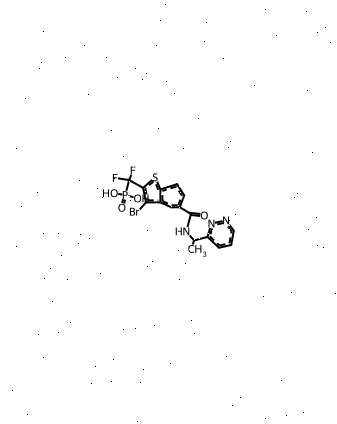 CC(NC(=O)c1ccc2sc(C(F)(F)P(=O)(O)O)c(Br)c2c1)c1cccnn1